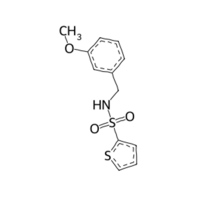 COc1cccc(CNS(=O)(=O)c2cccs2)c1